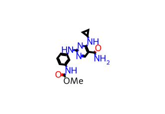 COC(=O)Nc1cccc(Nc2ncc(C(N)=O)c(NC3CC3)n2)c1